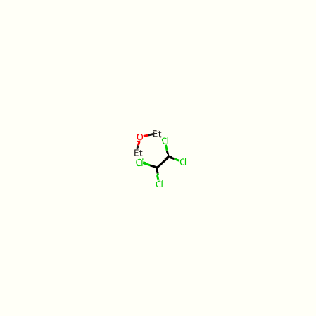 CCOCC.ClC(Cl)C(Cl)Cl